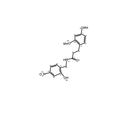 COc1ccc(CCC(=O)NCc2ccc([N+](=O)[O-])cc2O)c(OC)c1